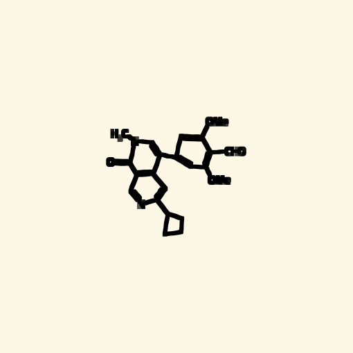 COc1cc(-c2cn(C)c(=O)c3cnc(C4CCC4)cc23)cc(OC)c1C=O